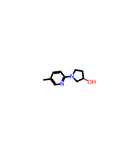 Cc1ccc(N2CC[C@@H](O)C2)nc1